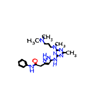 Cc1nc(Nc2cc(CC(=O)Nc3ccccc3)[nH]n2)nc(N(C)CCCN(C)C)n1